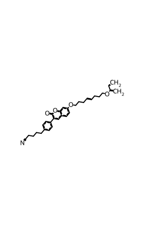 C=CC(=C)OCCC/C=C/CCCOc1ccc2cc(-c3ccc(CCCCC#N)cc3)c(=O)oc2c1